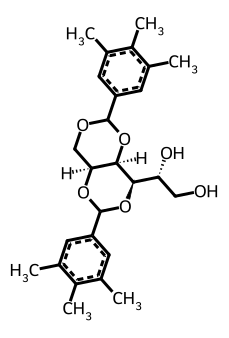 Cc1cc(C2OC[C@@H]3OC(c4cc(C)c(C)c(C)c4)O[C@H]([C@H](O)CO)[C@@H]3O2)cc(C)c1C